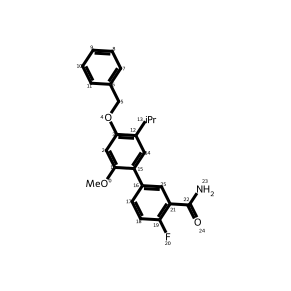 COc1cc(OCc2ccccc2)c(C(C)C)cc1-c1ccc(F)c(C(N)=O)c1